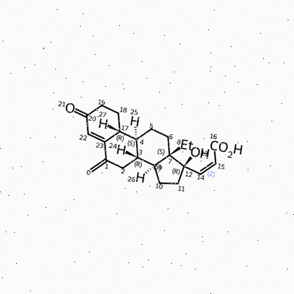 C=C1C[C@@H]2[C@H](CC[C@@]3(CC)[C@H]2CC[C@@]3(O)/C=C\C(=O)O)[C@H]2CCC(=O)C=C12